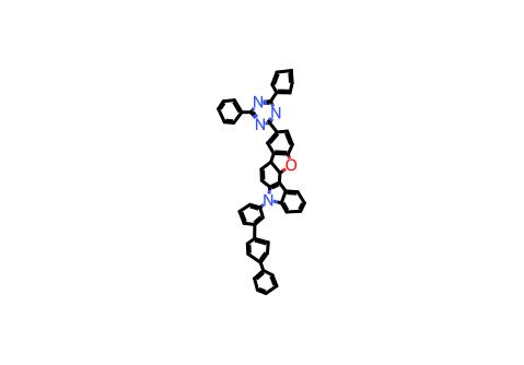 C1=CC2c3cc(-c4nc(-c5ccccc5)nc(-c5ccccc5)n4)ccc3OC2c2c1n(-c1cccc(-c3ccc(-c4ccccc4)cc3)c1)c1ccccc21